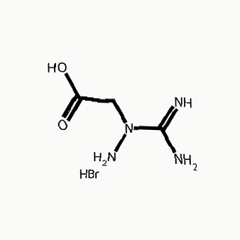 Br.N=C(N)N(N)CC(=O)O